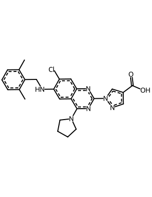 Cc1cccc(C)c1CNc1cc2c(N3CCCC3)nc(-n3cc(C(=O)O)cn3)nc2cc1Cl